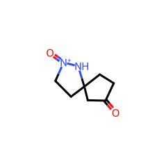 O=C1CCC2(CC[N+](=O)N2)C1